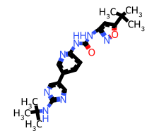 CC(C)(C)Nc1ncc(-c2ccc(NC(=O)Nc3cc(C(C)(C)C)on3)nc2)cn1